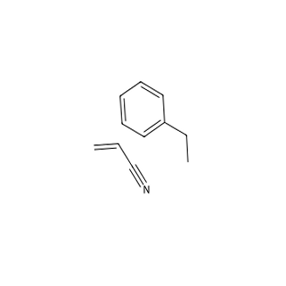 C=CC#N.CCc1ccccc1